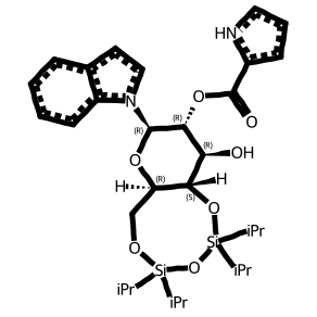 CC(C)[Si]1(C(C)C)OC[C@H]2O[C@@H](n3ccc4ccccc43)[C@H](OC(=O)c3ccc[nH]3)[C@@H](O)[C@@H]2O[Si](C(C)C)(C(C)C)O1